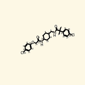 CC(C)(C(=O)NCC1CCC(NC(=O)COc2ccc(Cl)cc2)CC1)c1ccc(Cl)cc1